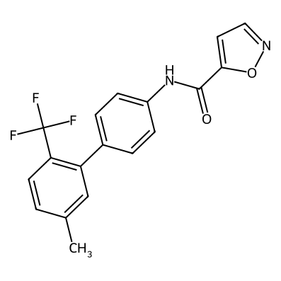 Cc1ccc(C(F)(F)F)c(-c2ccc(NC(=O)c3ccno3)cc2)c1